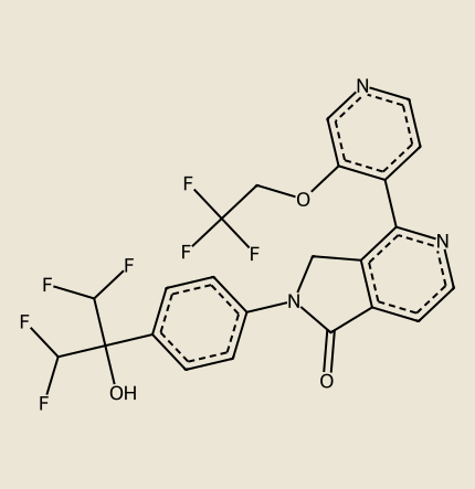 O=C1c2ccnc(-c3ccncc3OCC(F)(F)F)c2CN1c1ccc(C(O)(C(F)F)C(F)F)cc1